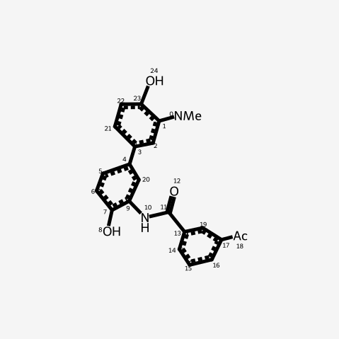 CNc1cc(-c2ccc(O)c(NC(=O)c3cccc(C(C)=O)c3)c2)ccc1O